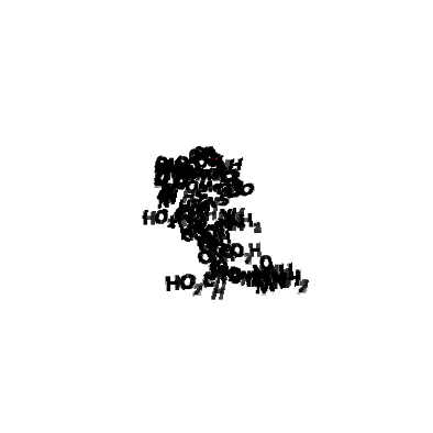 COc1ccc(-c2cnnn2-c2cc(OC)c(OC)c(OC)c2)cc1NC(=O)OC1CCCC2(C1)OOC1(O2)C2CC3CC1CC(NC(=O)C1CCC(CN4C(=O)CC(SCN[C@@H](CS)C(=O)N[C@@H](CC(=O)O)C(=O)N[C@@H](CC(=O)O)C(=O)N[C@@H](CCCNC(=N)N)C(=O)N[C@@H](CC(=O)O)C(=O)NC(=O)CCC(NC(=O)c5ccc(NCc6cnc7nc(N)[nH]c(=O)c7n6)cc5)C(=O)O)C4=O)CC1)(C3)C2